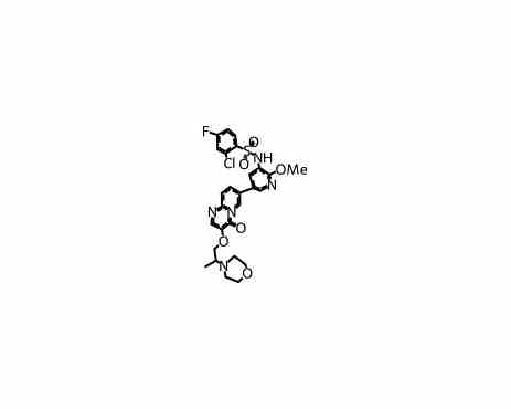 COc1ncc(-c2ccc3ncc(OCC(C)N4CCOCC4)c(=O)n3c2)cc1NS(=O)(=O)c1ccc(F)cc1Cl